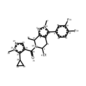 CCC1Cc2c(nn(C)c2-c2ccc(F)c(F)c2)C(C)N1C(=O)c1cnn(C)c1C1CC1